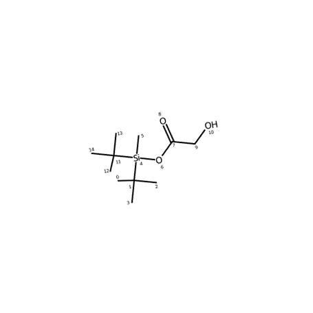 CC(C)(C)[Si](C)(OC(=O)CO)C(C)(C)C